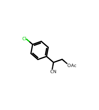 CC(=O)OCC(C#N)c1ccc(Cl)cc1